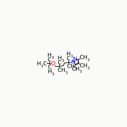 Cc1nn(C(C)(C)CCC(C)(C)COC(C)(C)C)c(C)c1C